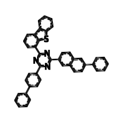 c1ccc(-c2ccc(-c3nc(-c4ccc5cc(-c6ccccc6)ccc5c4)nc(-c4cccc5c4sc4ccccc45)n3)cc2)cc1